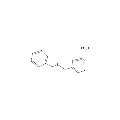 O=C(O)c1cccc(CSCc2ccccc2)c1